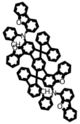 Cc1ccccc1N(c1cccc2c1oc1ccccc12)c1cc2c(c3c1oc1ccccc13)-c1cc3c(cc1C21c2ccccc2-c2ccccc21)-c1c(cc(N(c2ccccc2C)c2cccc4c2oc2ccccc24)c2oc4ccccc4c12)C31c2ccccc2-c2ccccc21